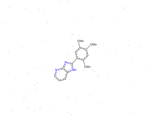 COc1cc(OC)c(-c2nc3ncccc3[nH]2)cc1OC